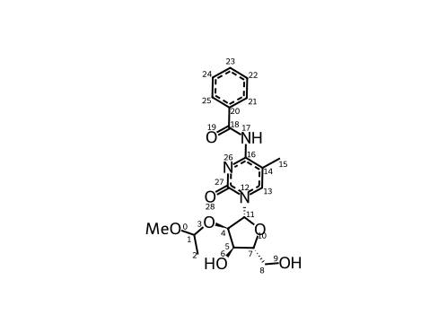 COC(C)O[C@@H]1[C@H](O)[C@@H](CO)O[C@H]1n1cc(C)c(NC(=O)c2ccccc2)nc1=O